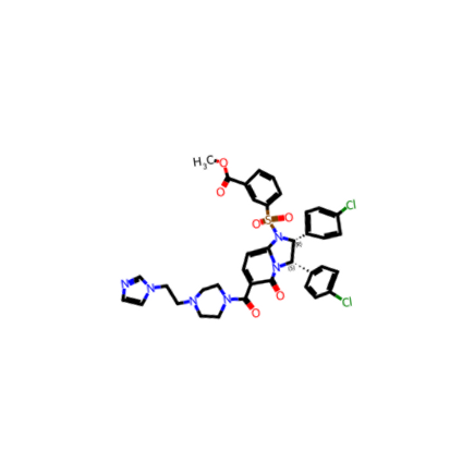 COC(=O)c1cccc(S(=O)(=O)N2c3ccc(C(=O)N4CCN(CCn5ccnc5)CC4)c(=O)n3[C@@H](c3ccc(Cl)cc3)[C@H]2c2ccc(Cl)cc2)c1